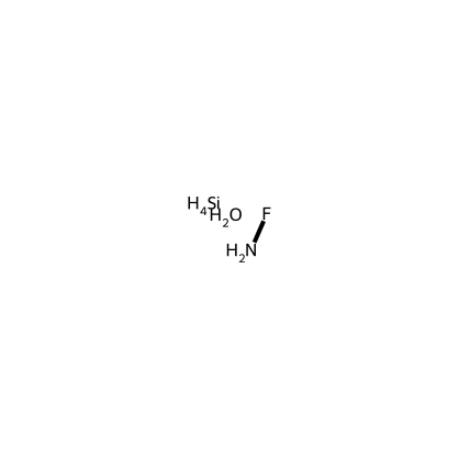 NF.O.[SiH4]